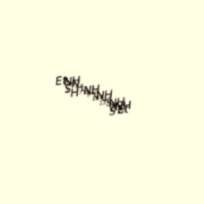 CCNC(=S)NCCCNCCCNCCCNC(=S)NCC